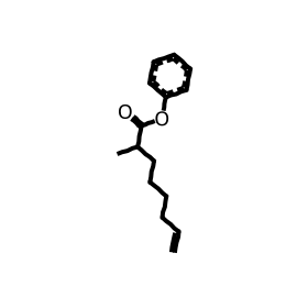 C=CCCCCC(C)C(=O)Oc1ccccc1